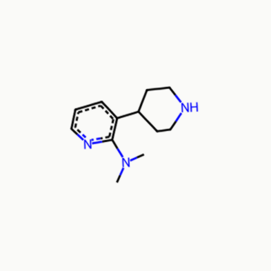 CN(C)c1ncccc1C1CCNCC1